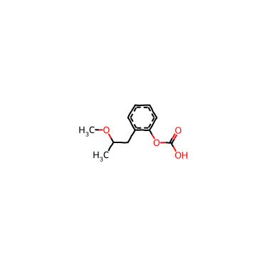 COC(C)Cc1ccccc1OC(=O)O